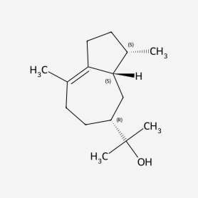 CC1=C2CC[C@H](C)[C@@H]2C[C@H](C(C)(C)O)CC1